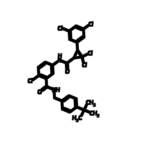 CC(C)(C)c1ccc(CNC(=O)c2cc(NC(=O)C3C(c4cc(Cl)cc(Cl)c4)C3(Cl)Cl)ccc2Cl)cc1